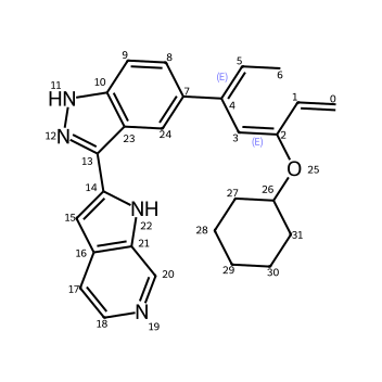 C=C/C(=C\C(=C/C)c1ccc2[nH]nc(-c3cc4ccncc4[nH]3)c2c1)OC1CCCCC1